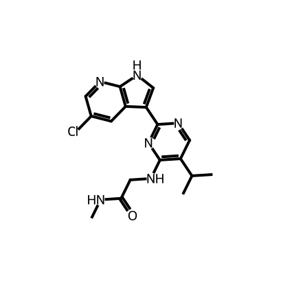 CNC(=O)CNc1nc(-c2c[nH]c3ncc(Cl)cc23)ncc1C(C)C